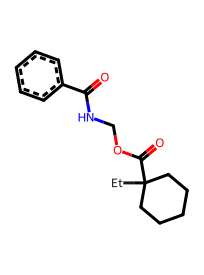 CCC1(C(=O)OCNC(=O)c2ccccc2)CCCCC1